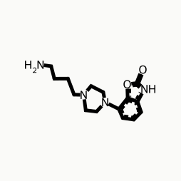 NCCCCN1CCN(c2cccc3[nH]c(=O)oc23)CC1